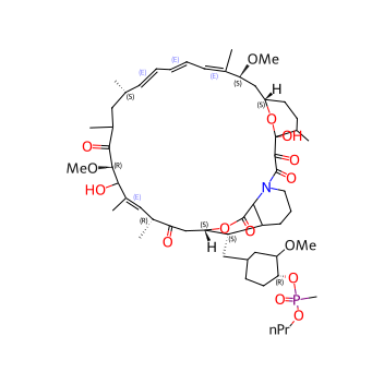 CCCOP(C)(=O)O[C@@H]1CCC(C[C@H]2C3CCCN4C(=O)C(=O)C5(O)O[C@@H](CCC5C)C[C@H](OC)/C(C)=C/C=C/C=C/[C@@H](C)CC(C)C(=O)[C@H](OC)C(O)/C(C)=C/[C@@H](C)C(=O)C[C@@H]2OC(=O)C34)CC1OC